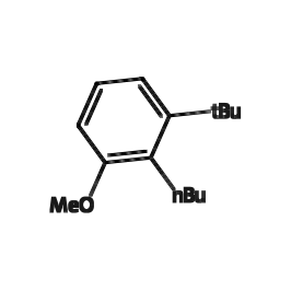 [CH2]CCCc1c(OC)cccc1C(C)(C)C